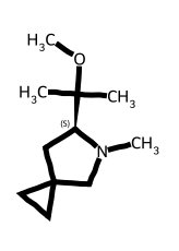 COC(C)(C)[C@@H]1CC2(CC2)CN1C